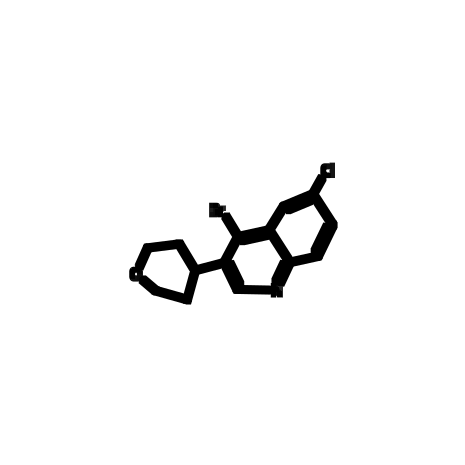 Clc1ccc2ncc(C3CCOCC3)c(Br)c2c1